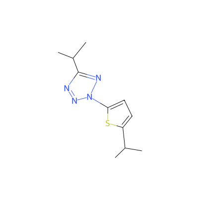 CC(C)c1nnn(-c2ccc(C(C)C)s2)n1